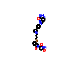 NC(=O)c1cccc2cn(-c3ccc([C@@H]4CCCN(CCCCSc5cccc6c5CN(C5CCC(=O)NC5=O)C6=O)C4)cc3)nc12